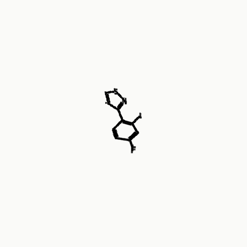 Fc1ccc(-c2[c]csn2)c(I)c1